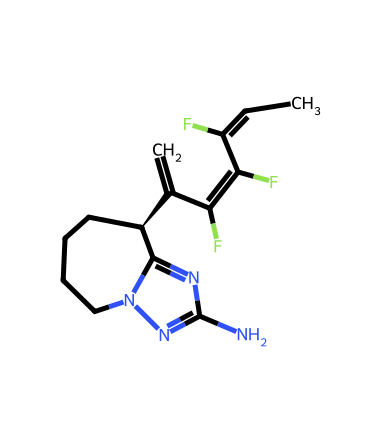 C=C(/C(F)=C(F)\C(F)=C/C)[C@@H]1CCCCn2nc(N)nc21